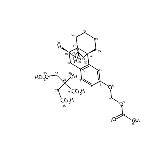 CC(C)(C)C(=O)OCOc1ccc2c(c1)[C@@]13CCCC[C@H]1[C@@H](C2)NCC3.O=C(O)CC(O)(CC(=O)O)C(=O)O